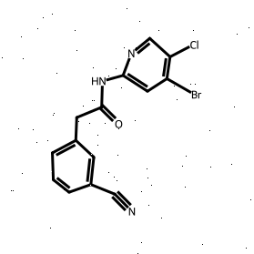 N#Cc1cccc(CC(=O)Nc2cc(Br)c(Cl)cn2)c1